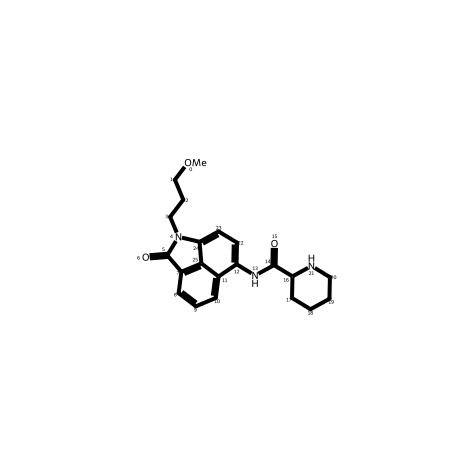 COCCCN1C(=O)c2cccc3c(NC(=O)C4CCCCN4)ccc1c23